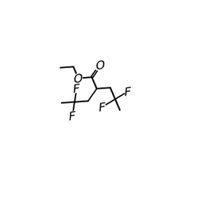 CCOC(=O)C(CC(C)(F)F)CC(C)(F)F